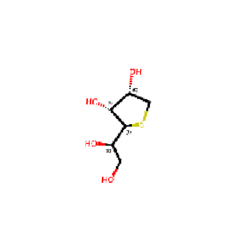 OC[C@@H](O)[C@@H]1SC[C@@H](O)[C@H]1O